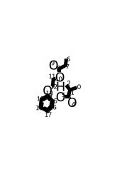 CC(C)C(=O)O.CCC(=O)OCCOc1ccccc1